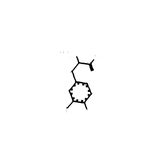 CCOC(=O)C(Cc1ccc(F)c(Cl)c1)C(=O)C(F)(F)F